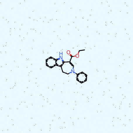 CCOC(=O)C1=CN(c2ccccc2)CCc2c1[nH]c1ccccc21